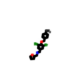 Cc1ccc(COc2c(Br)cc(C=NCc3ccco3)cc2Br)cc1